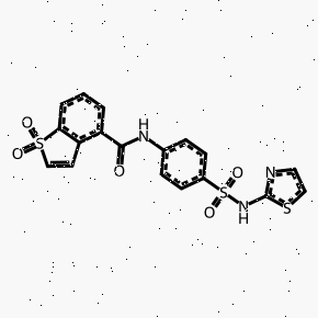 O=C(Nc1ccc(S(=O)(=O)Nc2nccs2)cc1)c1cccc2c1C=CS2(=O)=O